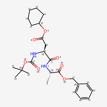 C[C@H](NC(=O)[C@H](CC(=O)OC1CCCCC1)NC(=O)OC(C)(C)C)C(=O)OCc1ccccc1